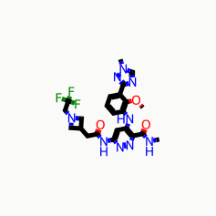 CNC(=O)c1nnc(NC(=O)CC2CN(CC(F)(F)F)C2)cc1Nc1cccc(-c2ncn(C)n2)c1OC